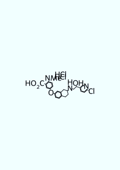 CNc1ccc(Oc2ccc3c(c2)C[C@@H](NC[C@H](O)c2ccc(Cl)nc2)CC3)cc1C(=O)O.Cl.Cl